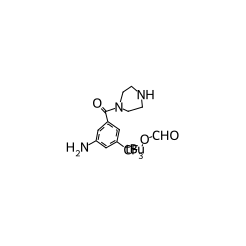 CC(C)(C)OC=O.Nc1cc(C(=O)N2CCNCC2)cc(C(F)(F)F)c1